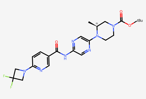 C[C@H]1CN(C(=O)OC(C)(C)C)CCN1c1cnc(NC(=O)c2ccc(N3CC(F)(F)C3)nc2)cn1